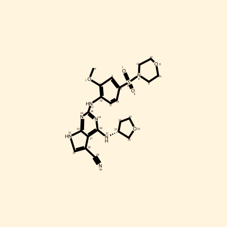 COc1cc(S(=O)(=O)N2CCOCC2)ccc1Nc1nc(N[C@@H]2CCOC2)c2c(C#N)c[nH]c2n1